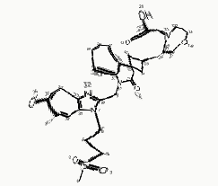 CS(=O)(=O)CCCn1c(CN2C(=O)C3(CC([C@@H]4COCCN4C(=O)O)C3)c3ccccc32)nc2cc(Cl)ccc21